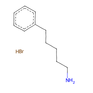 Br.NCCCCCc1ccccc1